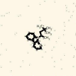 CC(CC(C)(C)C)n1c2ccccc2c2cccnc21